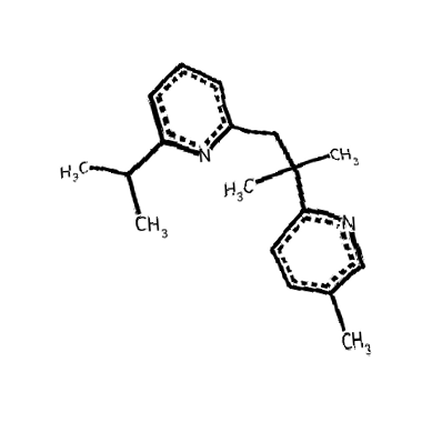 Cc1ccc(C(C)(C)Cc2cccc(C(C)C)n2)nc1